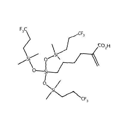 C=C(CCCC[Si](O[Si](C)(C)CCC(F)(F)F)(O[Si](C)(C)CCC(F)(F)F)O[Si](C)(C)CCC(F)(F)F)C(=O)O